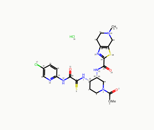 COC(=O)N1CC[C@H](NC(=S)C(=O)Nc2ccc(Cl)cn2)[C@H](NC(=O)c2nc3c(s2)CN(C)CC3)C1.Cl